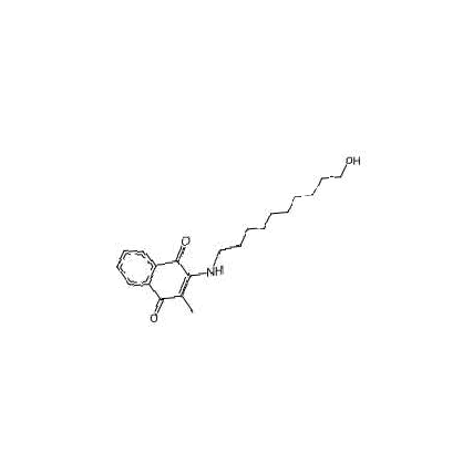 CC1=C(NCCCCCCCCCCO)C(=O)c2ccccc2C1=O